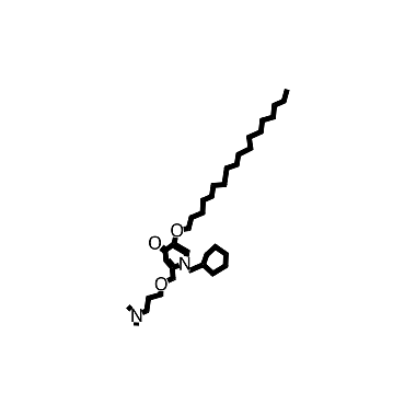 CCCCCCCCCCCCCCCCCCOc1cn(CC2CCCCC2)c(COCCCN(C)C)cc1=O